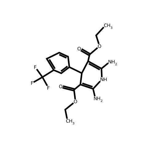 CCOC(=O)C1=C(N)NC(N)=C(C(=O)OCC)C1c1cccc(C(F)(F)F)c1